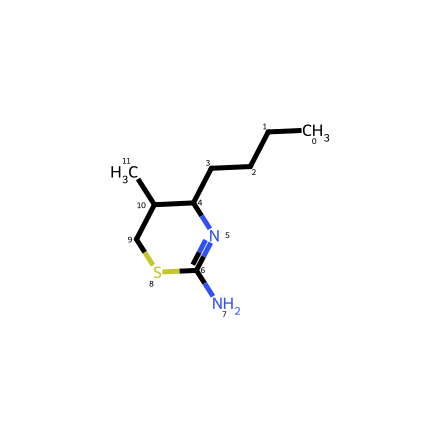 CCCCC1N=C(N)SCC1C